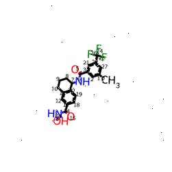 Cc1cc(C(=O)NC2CCCc3cc(C(=O)NO)ccc32)cc(C(F)(F)F)c1